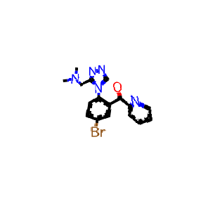 CN(C)Cc1nncn1-c1ccc(Br)cc1C(=O)c1ccccn1